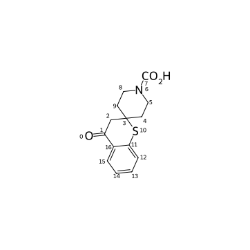 O=C1CC2(CCN(C(=O)O)CC2)Sc2ccccc21